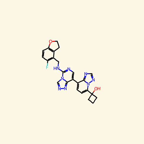 OC1(c2ccc(-c3cnc(NCc4c(F)ccc5c4CCO5)n4cnnc34)c3ncnn23)CCC1